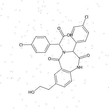 O=C(O)C(c1ccc(Cl)cc1)N1C(=O)c2cc(CCO)ccc2NC(=O)C1c1ccc(Cl)cc1